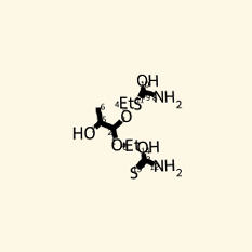 CCOC(OCC)C(C)O.NC(O)=S.NC(O)=S